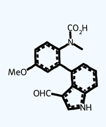 COc1ccc(N(C)C(=O)O)c(-c2cccc3[nH]cc(C=O)c23)c1